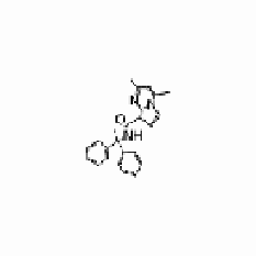 Cc1cc(C)n2ccc(C(=O)NC(C)(c3ccccc3)c3ccccc3)c2n1